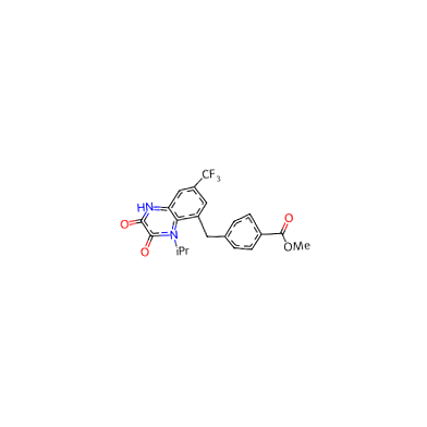 COC(=O)c1ccc(Cc2cc(C(F)(F)F)cc3[nH]c(=O)c(=O)n(C(C)C)c23)cc1